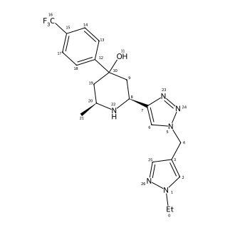 CCn1cc(Cn2cc([C@@H]3CC(O)(c4ccc(C(F)(F)F)cc4)C[C@H](C)N3)nn2)cn1